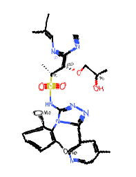 C=N/C(=N\C=C(C)C)[C@H](OC[C@@H](C)O)[C@@H](C)S(=O)(=O)Nc1nnc(-c2cncc(C)c2)n1-c1c(OC)cccc1OC